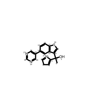 CC(O)(C1=CCC=N1)c1csc2ccc(-c3cncnc3)cc12